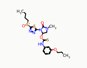 CCCC[S+]([O-])c1nnc(N2C(=O)N(C)CC2OC(=S)Nc2cccc(OCCC)c2)s1